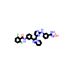 N/C(=N\O)c1cccc(Nc2nccc(-c3c(-c4cccc(NC(=O)c5c(F)cccc5F)c4)nc4ccccn34)n2)c1